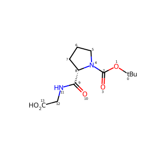 CC(C)(C)OC(=O)N1CCC[C@H]1C(=O)NCC(=O)O